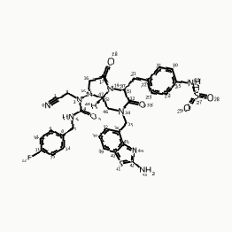 N#CCN(C(=O)NCc1ccc(F)cc1)N1CC(=O)N2[C@@H](Cc3ccc(N[SH](=O)=O)cc3)C(=O)N(Cc3cccc4sc(N)nc34)C[C@@H]21